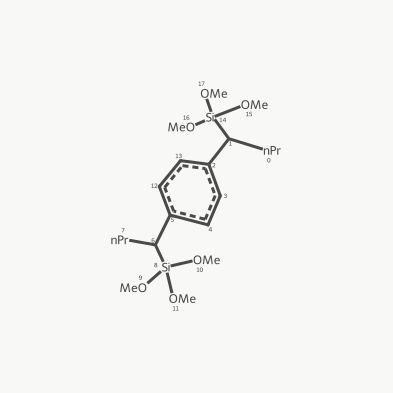 CCCC(c1ccc(C(CCC)[Si](OC)(OC)OC)cc1)[Si](OC)(OC)OC